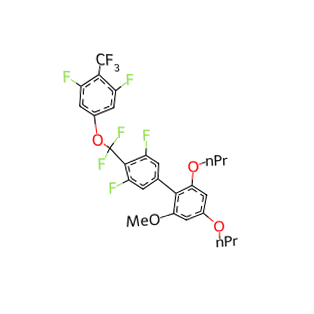 CCCOc1cc(OC)c(-c2cc(F)c(C(F)(F)Oc3cc(F)c(C(F)(F)F)c(F)c3)c(F)c2)c(OCCC)c1